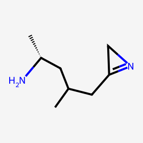 CC(CC1=NC1)C[C@@H](C)N